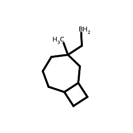 BCC1(C)CCCC2CCC2C1